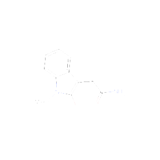 COn1c(O)c(CC(N)=O)c2ccccc21